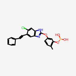 Cc1ccc(Oc2nc3cc(C#Cc4ccccc4)c(Cl)cc3[nH]2)cc1OP(O)O